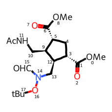 COC(=O)[C@H]1C[C@@H](C(=O)OC)[C@H](CNC(C)=O)[C@@H]1CN(C=O)OC(C)(C)C